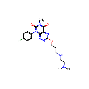 CCN(CC)CCNCCCOc1nnc2c(n1)c(=O)n(C)c(=O)n2-c1ccc(F)cc1